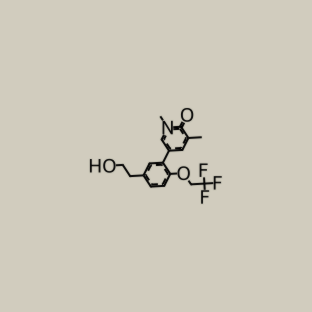 Cc1cc(-c2cc(CCO)ccc2OCC(F)(F)F)cn(C)c1=O